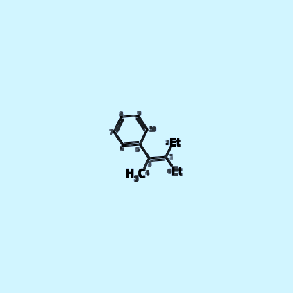 CCC(CC)=C(C)c1ccccc1